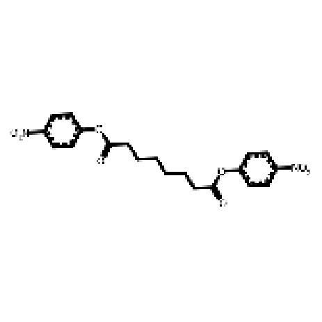 O=C(CCCCCCC(=O)Oc1ccc([N+](=O)[O-])cc1)Oc1ccc([N+](=O)[O-])cc1